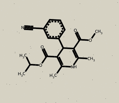 COC(=O)C1=C(C)NC(C)=C(C(=O)OC(C)C)C1c1cccc(C#N)c1